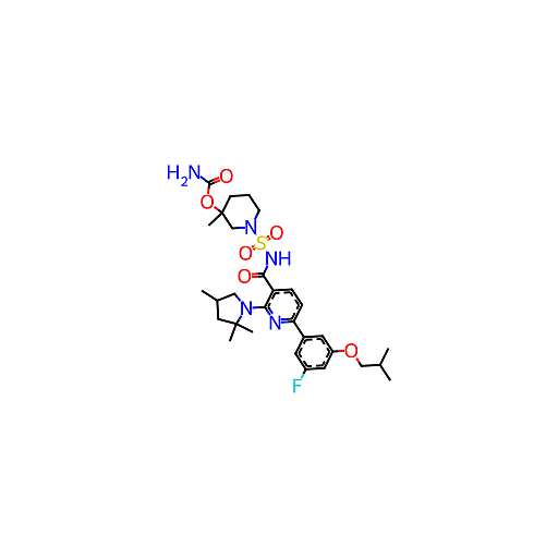 CC(C)COc1cc(F)cc(-c2ccc(C(=O)NS(=O)(=O)N3CCCC(C)(OC(N)=O)C3)c(N3CC(C)CC3(C)C)n2)c1